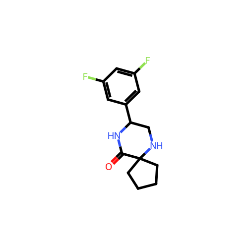 O=C1NC(c2cc(F)cc(F)c2)CNC12CCCC2